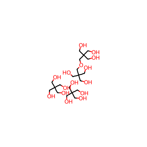 OCC(CO)(CO)CO.OCC(CO)(CO)CO.OCC(CO)(CO)COCC(CO)(CO)CO